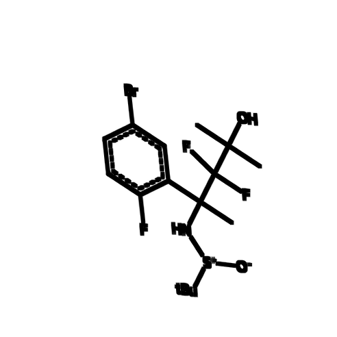 CC(C)(C)[S+]([O-])NC(C)(c1cc(Br)ccc1F)C(F)(F)C(C)(C)O